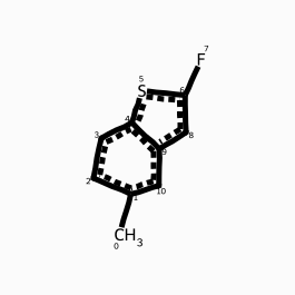 Cc1ccc2sc(F)cc2c1